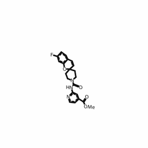 COC(=O)c1ccnc(NC(=O)N2CCC3(C=Cc4ccc(F)cc4O3)CC2)c1